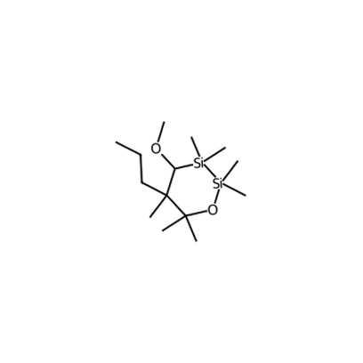 CCCC1(C)C(OC)[Si](C)(C)[Si](C)(C)OC1(C)C